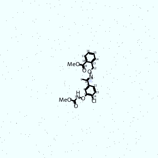 COC(=O)NOc1cc(/C(C)=N/OCc2ccccc2C(=O)OC)ccc1Cl